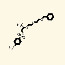 Cc1ccc(S(=O)(=O)OC[C@@H](C)OCCOCCOCc2ccccc2)cc1